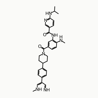 CN/C=C(\C=N)c1ccc(C2CCN(C(=O)c3ccc(NC)c(NC(=O)c4ccc(NC(C)C)nc4)c3)CC2)cc1